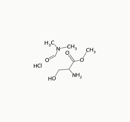 CN(C)C=O.COC(=O)C(N)CO.Cl